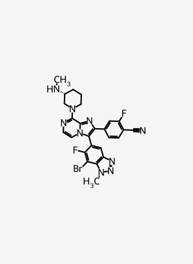 CN[C@@H]1CCCN(c2nccn3c(-c4cc5nnn(C)c5c(Br)c4F)c(-c4ccc(C#N)c(F)c4)nc23)C1